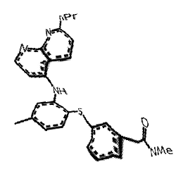 CCCc1ccc2c(Nc3cc(C)ccc3Sc3cccc(C(=O)NC)c3)ccnc2n1